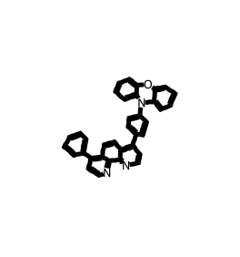 c1ccc(-c2ccnc3c2ccc2c(-c4ccc(N5c6ccccc6Oc6ccccc65)cc4)ccnc23)cc1